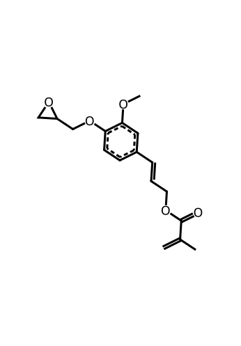 C=C(C)C(=O)OC/C=C/c1ccc(OCC2CO2)c(OC)c1